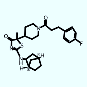 CC1(C2CCN(C(=O)CCc3ccc(F)cc3)CC2)SC(NC2C[C@@H]3CC[C@H]2C3)=NC1=O